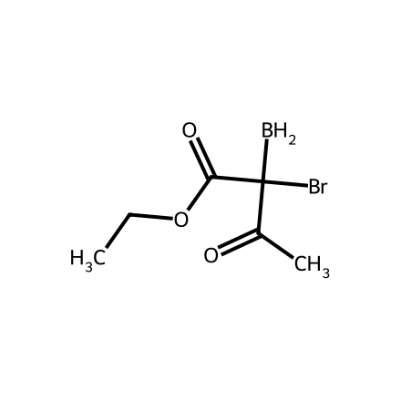 BC(Br)(C(C)=O)C(=O)OCC